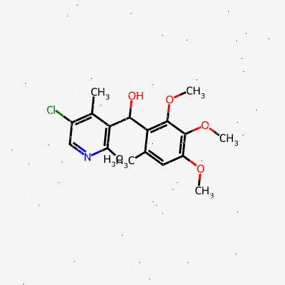 COc1cc(C)c(C(O)c2c(C)ncc(Cl)c2C)c(OC)c1OC